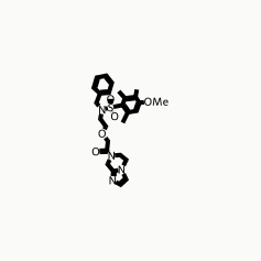 COc1cc(C)c(S(=O)(=O)N(CCOCC(=O)N2CCn3ccnc3C2)Cc2ccccc2)c(C)c1C